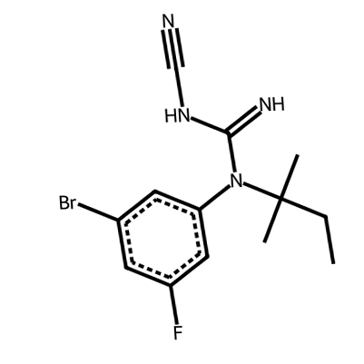 CCC(C)(C)N(C(=N)NC#N)c1cc(F)cc(Br)c1